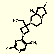 Cc1cnc(Cl)nc1N1CC(CC#N)(N2CCN3C[C@H](F)C[C@H]3C2)C1